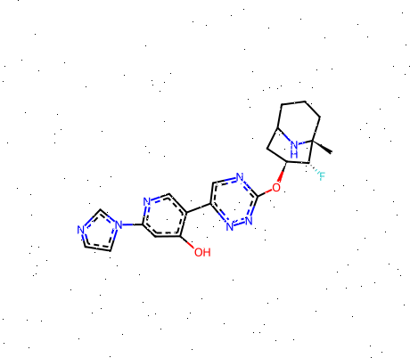 C[C@@]12CCCC(C[C@H](Oc3ncc(-c4cnc(-n5ccnc5)cc4O)nn3)[C@H]1F)N2